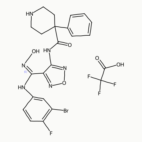 O=C(Nc1nonc1/C(=N\O)Nc1ccc(F)c(Br)c1)C1(c2ccccc2)CCNCC1.O=C(O)C(F)(F)F